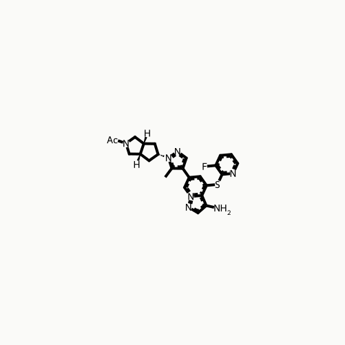 CC(=O)N1C[C@H]2C[C@@H](n3ncc(-c4cc(Sc5ncccc5F)c5c(N)cnn5c4)c3C)C[C@H]2C1